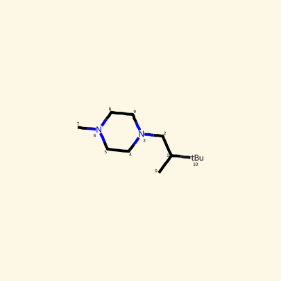 CC(CN1CCN(C)CC1)C(C)(C)C